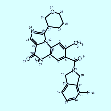 Cc1cc2c(cc1C(=O)N1Cc3cccc(F)c3C1)[nH]c(=O)c1cnc(C3CCCOC3)n12